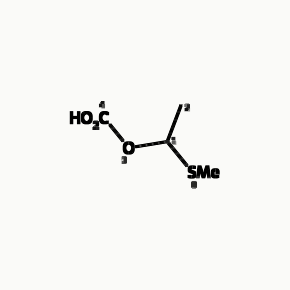 CSC(C)OC(=O)O